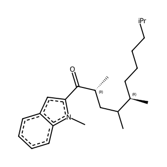 CC(C)CCCC[C@@H](C)C(C)C[C@@H](C)C(=O)c1cc2ccccc2n1C